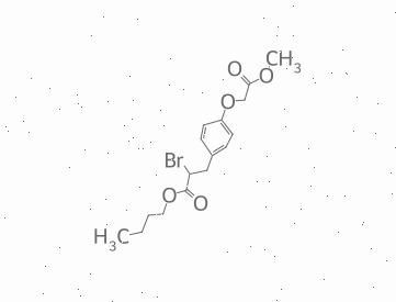 CCCCOC(=O)C(Br)Cc1ccc(OCC(=O)OC)cc1